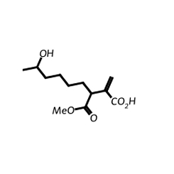 C=C(C(=O)O)C(CCCCC(C)O)C(=O)OC